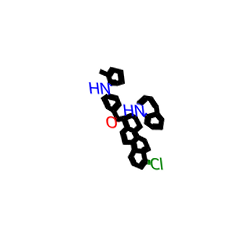 C1=CNc2ccccc2C=C1.Cc1ccccc1Nc1ccc(C(=O)C2=c3ccc4c(c3CCC2)CC=c2c(Cl)cccc2=4)cc1